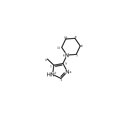 Cc1[nH]cnc1N1CCCCC1